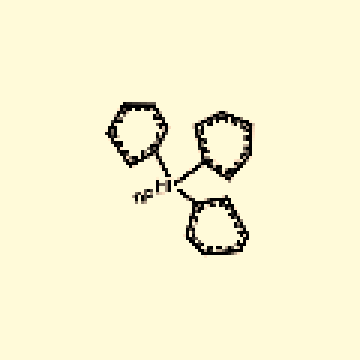 CC[CH][PH](c1ccccc1)(c1ccccc1)c1ccccc1